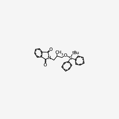 CC(CO[Si](c1ccccc1)(c1ccccc1)C(C)(C)C)CN1C(=O)c2ccccc2C1=O